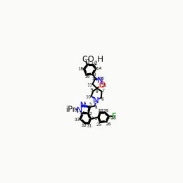 CC(C)n1nc(CN2CCC3(CC2)CC(c2ccc(C(=O)O)cc2)=NO3)c2c(-c3ccc(F)cc3)cccc21